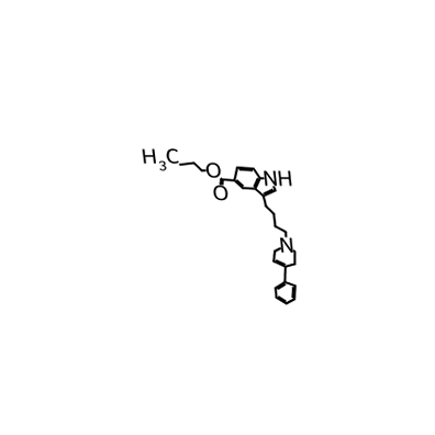 CCCCOC(=O)c1ccc2[nH]cc(CCCCN3CC=C(c4ccccc4)CC3)c2c1